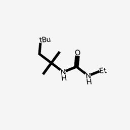 CCNC(=O)NC(C)(C)CC(C)(C)C